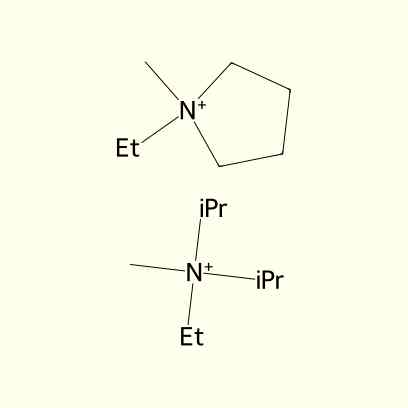 CC[N+](C)(C(C)C)C(C)C.CC[N+]1(C)CCCC1